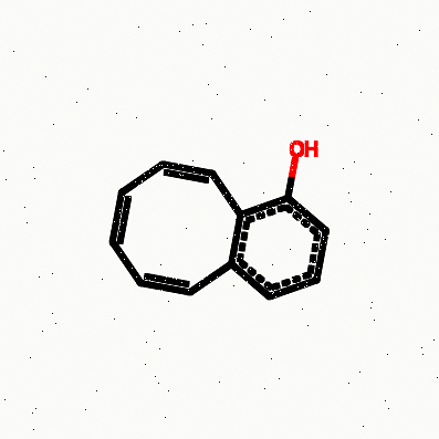 Oc1cccc2c1C=CC=CC=C2